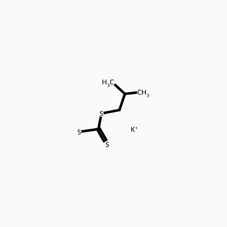 CC(C)CSC(=S)[S-].[K+]